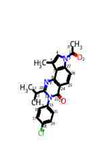 CC(=O)n1cc(C)c2c3nc(C(C)C)n(-c4ccc(Cl)cc4)c(=O)c3ccc21